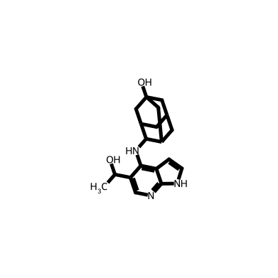 CC(O)c1cnc2[nH]ccc2c1NC1C2CC3CC1CC(O)(C3)C2